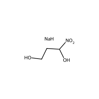 O=[N+]([O-])C(O)CCO.[NaH]